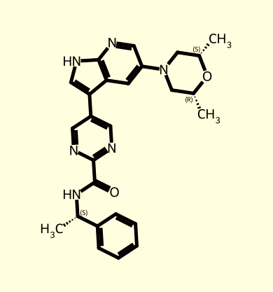 C[C@@H]1CN(c2cnc3[nH]cc(-c4cnc(C(=O)N[C@@H](C)c5ccccc5)nc4)c3c2)C[C@H](C)O1